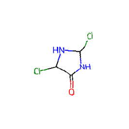 O=C1NC(Cl)NC1Cl